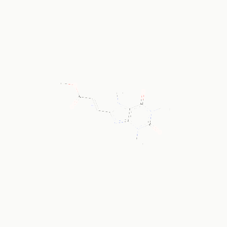 Cn1c(=O)c2c(nc(/C=C/C(=O)OC(C)(C)C)n2C)n(C)c1=O